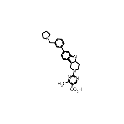 Cc1nc(N2CCC3N=c4cc(-c5cccc(CN6CCCC6)c5)ccc4=C3C2)ncc1C(=O)O